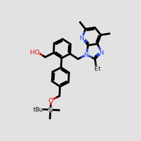 CCc1nc2c(C)cc(C)nc2n1Cc1cccc(CO)c1-c1ccc(CO[Si](C)(C)C(C)(C)C)cc1